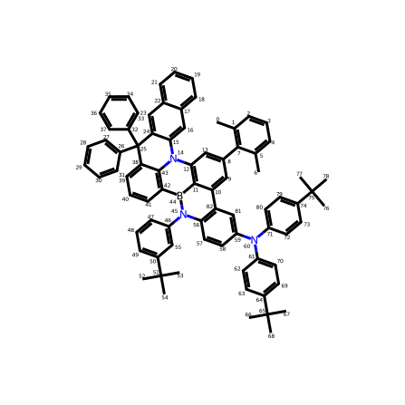 Cc1cccc(C)c1-c1cc2c3c(c1)N1c4cc5ccccc5cc4C(c4ccccc4)(c4ccccc4)c4cccc(c41)B3N(c1cccc(C(C)(C)C)c1)c1ccc(N(c3ccc(C(C)(C)C)cc3)c3ccc(C(C)(C)C)cc3)cc1-2